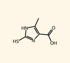 Cc1[nH]c(S)nc1C(=O)O